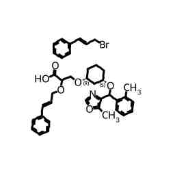 BrCC=Cc1ccccc1.Cc1ccccc1C(O[C@H]1CCC[C@@H](OCC(OCC=Cc2ccccc2)C(=O)O)C1)c1ncoc1C